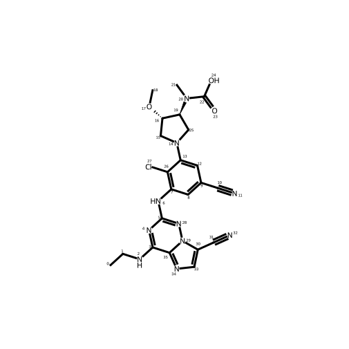 CCNc1nc(Nc2cc(C#N)cc(N3C[C@H](OC)[C@@H](N(C)C(=O)O)C3)c2Cl)nn2c(C#N)cnc12